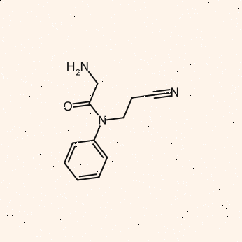 N#CCCN(C(=O)CN)c1ccccc1